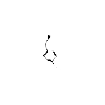 C#CCc1ccc(N)cc1